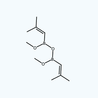 COB(C=C(C)C)OB(C=C(C)C)OC